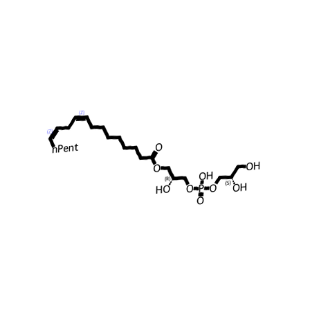 CCCCC/C=C\C/C=C\CCCCCCCC(=O)OC[C@@H](O)COP(=O)(O)OC[C@@H](O)CO